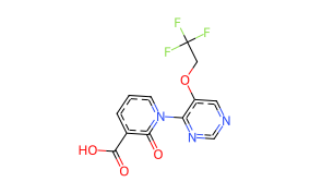 O=C(O)c1cccn(-c2ncncc2OCC(F)(F)F)c1=O